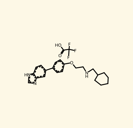 O=C(O)C(F)(F)F.c1nc2cc(-c3ccc(OCCNCC4CCCCC4)cc3)ccc2[nH]1